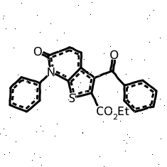 CCOC(=O)c1sc2c(ccc(=O)n2-c2ccccc2)c1C(=O)c1ccccc1